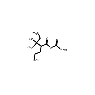 CCCCCCCCCCCCC(C(=O)OC(=O)CCCCCCC)C(O)(CC(=O)O)C(=O)O